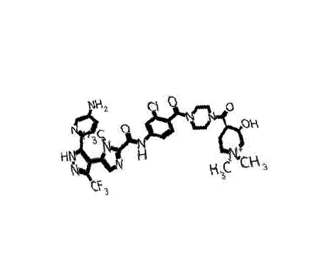 Cn1c(-c2c(C(F)(F)F)n[nH]c2-c2ccc(N)cn2)cnc1C(=O)Nc1ccc(C(=O)N2CCN(C(=O)[C@@H]3CC[N+](C)(C)C[C@@H]3O)CC2)c(Cl)c1